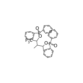 CC(OP(=O)(c1ccccc1)c1ccccc1)C(C)C(OP(=O)(c1ccccc1)c1ccccc1)C(F)(F)F